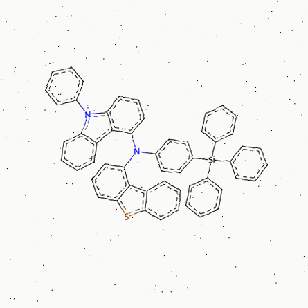 c1ccc(-n2c3ccccc3c3c(N(c4ccc([Si](c5ccccc5)(c5ccccc5)c5ccccc5)cc4)c4cccc5sc6ccccc6c45)cccc32)cc1